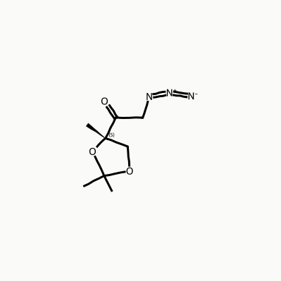 CC1(C)OC[C@@](C)(C(=O)CN=[N+]=[N-])O1